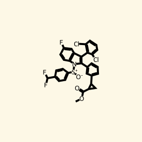 COC(=O)C1CC1c1cccc(-c2c(-c3c(Cl)cccc3Cl)c3cc(F)ccc3n2[S+]([O-])c2ccc(C(F)F)cc2)c1